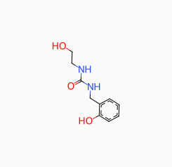 O=C(NCCO)NCc1ccccc1O